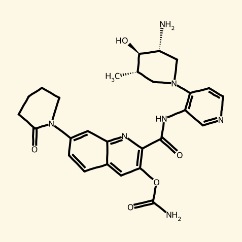 C[C@H]1CN(c2ccncc2NC(=O)c2nc3cc(N4CCCCC4=O)ccc3cc2OC(N)=O)C[C@@H](N)[C@@H]1O